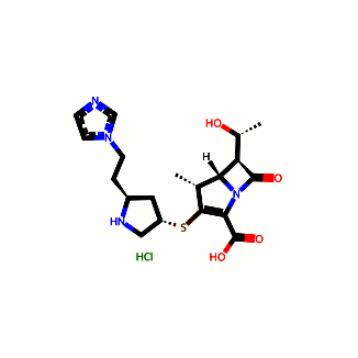 C[C@@H](O)[C@H]1C(=O)N2C(C(=O)O)=C(S[C@@H]3CN[C@@H](CCn4ccnc4)C3)[C@H](C)[C@H]12.Cl